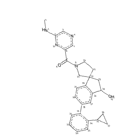 CNc1cncc(C(=O)N2CCC3(CC(O)c4cc(-c5ccccc5C5CC5)ccc43)C2)n1